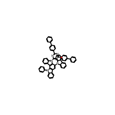 c1ccc(-c2ccc(-c3nc(-c4ccc(-c5ccccc5)cc4)nc(-n4c5ccccc5c5c4c(-n4c6ccccc6c6ccccc64)cc4c6ccccc6n(-c6ccccc6)c45)n3)cc2)cc1